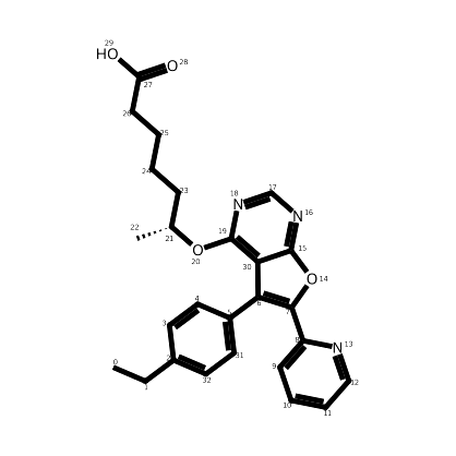 CCc1ccc(-c2c(-c3ccccn3)oc3ncnc(O[C@H](C)CCCCC(=O)O)c23)cc1